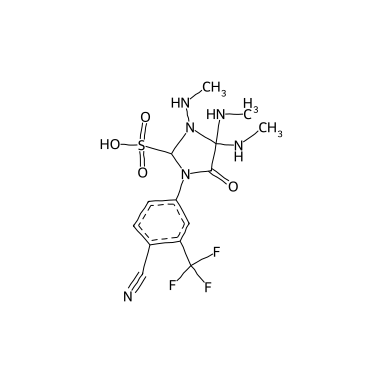 CNN1C(S(=O)(=O)O)N(c2ccc(C#N)c(C(F)(F)F)c2)C(=O)C1(NC)NC